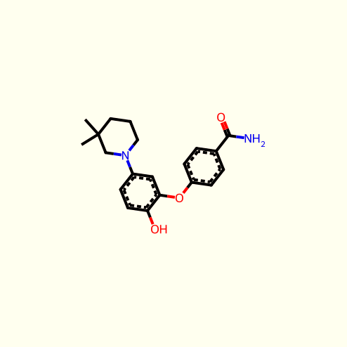 CC1(C)CCCN(c2ccc(O)c(Oc3ccc(C(N)=O)cc3)c2)C1